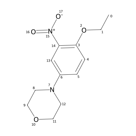 CCOc1ccc(N2CCOCC2)cc1[N+](=O)[O-]